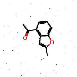 CC(=O)c1cccc2oc(C)cc12